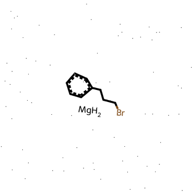 BrCCCc1ccccc1.[MgH2]